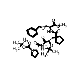 COC(=O)[C@H](COCc1ccccc1)NC(=O)C1(C[C@H](OC(C)(C)C)C(=O)NC(=O)[C@@H]2CCCN2C(=O)OC(C)(C)C)CCCC1